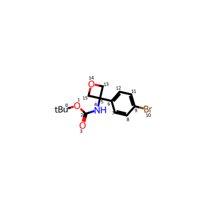 CC(C)(C)OC(=O)NC1(c2ccc(Br)cc2)COC1